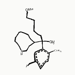 COCCCCC(O)(c1cc(F)ccc1C)C1CCCNC1